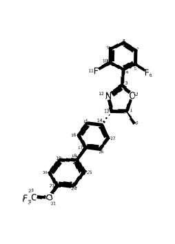 C[C@@H]1OC(c2c(F)cccc2F)=N[C@H]1c1ccc(-c2ccc(OC(F)(F)F)cc2)cc1